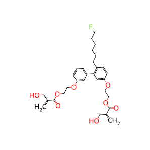 C=C(CO)C(=O)OCCOc1cccc(-c2cc(OCCOC(=O)C(=C)CO)ccc2CCCCCCF)c1